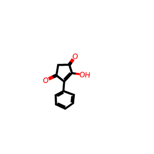 O=C1CC(=O)C(c2ccccc2)=C1O